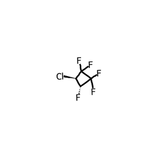 F[C@@H]1[C@@H](Cl)C(F)(F)C1(F)F